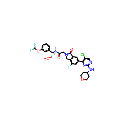 O=C(CN1Cc2c(F)cc(-c3nc(NC4CCOCC4)ncc3Cl)cc2C1=O)N[C@H](CO)c1cccc(OC(F)F)c1